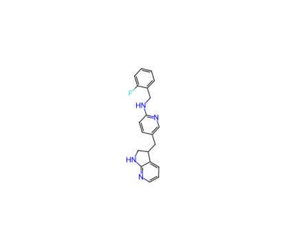 Fc1ccccc1CNc1ccc(CC2CNc3ncccc32)cn1